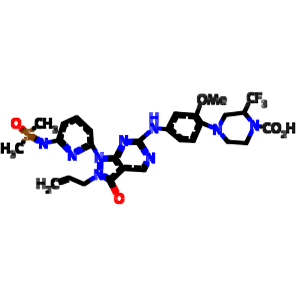 C=CCn1c(=O)c2cnc(Nc3ccc(N4CCN(C(=O)O)C(C(F)(F)F)C4)c(OC)c3)nc2n1-c1cccc(N=S(C)(C)=O)n1